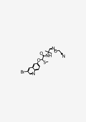 CSC(Oc1ccc2ncc(Br)cc2c1)C(=O)NC(C)(C)/C=N\OCC#N